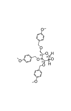 COc1ccc(COC[C@H]2O[C@@H]3O[C@@H]3[C@@H](OCc3ccc(OC)cc3)[C@@H]2OCc2ccc(OC)cc2)cc1